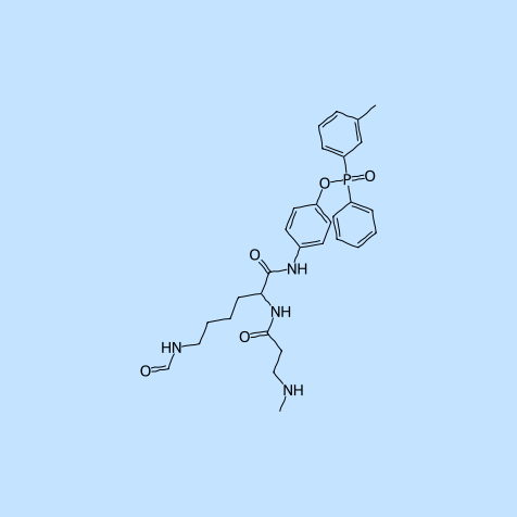 CNCCC(=O)NC(CCCCNC=O)C(=O)Nc1ccc(OP(=O)(c2ccccc2)c2cccc(C)c2)cc1